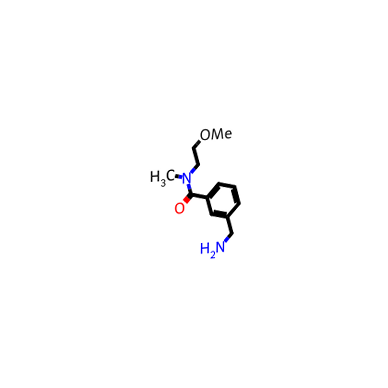 COCCN(C)C(=O)c1cccc(CN)c1